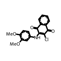 COc1ccc(NC2=C(Cl)C(=O)c3ccccc3C2=O)cc1OC